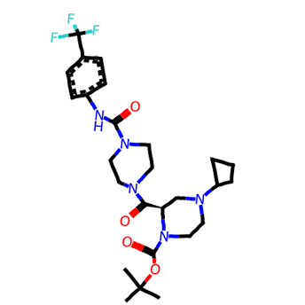 CC(C)(C)OC(=O)N1CCN(C2CCC2)C[C@@H]1C(=O)N1CCN(C(=O)Nc2ccc(C(F)(F)F)cc2)CC1